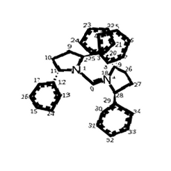 C(N1[C@H](c2ccccc2)CC[C@H]1c1ccccc1)=[N+]1[C@H](c2ccccc2)CC[C@H]1c1ccccc1